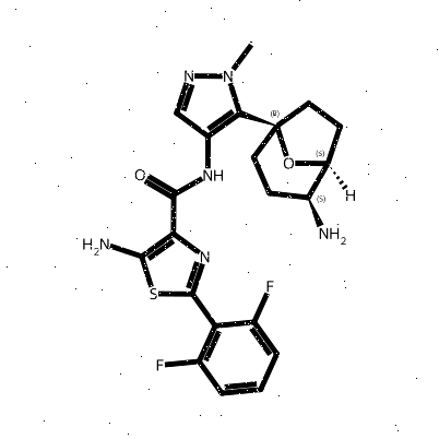 Cn1ncc(NC(=O)c2nc(-c3c(F)cccc3F)sc2N)c1[C@@]12CC[C@H](O1)[C@@H](N)CC2